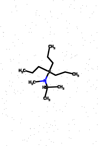 CCC[Si](CCC)(CCC)N(C)[SiH](C)C